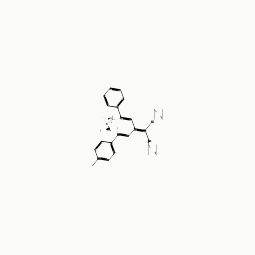 Cc1ccc(C2=CC(=C(C#N)C#N)C=C(c3ccccc3)S2(=O)=O)cc1